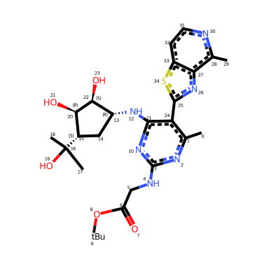 Cc1nc(NCC(=O)OC(C)(C)C)nc(N[C@@H]2C[C@H](C(C)(C)O)[C@@H](O)[C@H]2O)c1-c1nc2c(C)nccc2s1